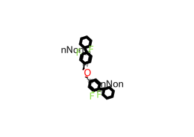 CCCCCCCCCC1([C@@]2(F)C=C[C@@H](COC[C@@H]3C=C[C@](F)(C4(CCCCCCCCC)CCCCC4)C(F)=C3)C=C2F)CCCCC1